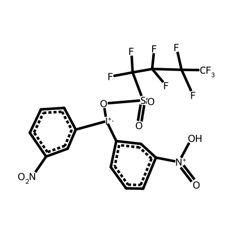 O=[N+]([O-])c1cccc([I+](OS(=O)(=O)C(F)(F)C(F)(F)C(F)(F)C(F)(F)F)c2cccc([N+](=O)O)c2)c1